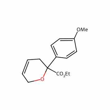 CCOC(=O)C1(c2ccc(OC)cc2)CC=CCO1